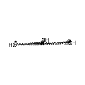 O=C(O)CCCCCCCCCCCCCCCCCCCCCCCN(CCO)CCCCCCCCCCCCCCCCCCCCCCCC(=O)O